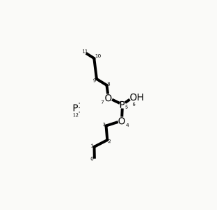 CCCCOP(O)OCCCC.[P]